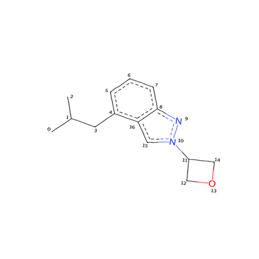 CC(C)Cc1cccc2nn(C3COC3)cc12